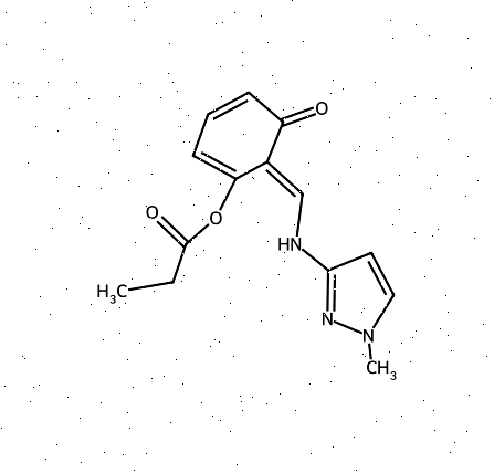 CCC(=O)OC1=CC=CC(=O)C1=CNc1ccn(C)n1